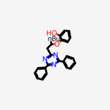 CCCCC(Cc1nc(-c2ccccc2)nc(-c2ccccc2)n1)Oc1ccccc1O